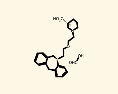 O=C(O)[C@@H]1CCCN(CCOCCN2Cc3ccccc3Cc3ccccc32)C1.O=CO